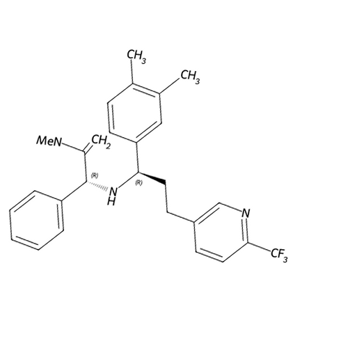 C=C(NC)[C@H](N[C@H](CCc1ccc(C(F)(F)F)nc1)c1ccc(C)c(C)c1)c1ccccc1